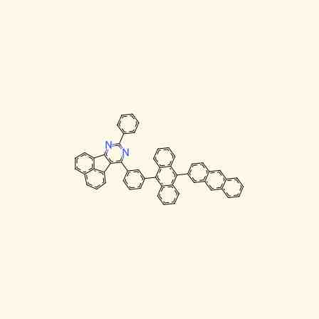 c1ccc(-c2nc(-c3cccc(-c4c5ccccc5c(-c5ccc6cc7ccccc7cc6c5)c5ccccc45)c3)c3c(n2)-c2cccc4cccc-3c24)cc1